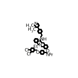 CCCC(Oc1ccc2c(c1)CN(C(CC)c1ccccc1)C(C(=O)NCCc1ccc(-c3ccnc(C)c3C)cc1)C2)c1ccc(OCc2ccc(Cl)c(Cl)c2)cc1